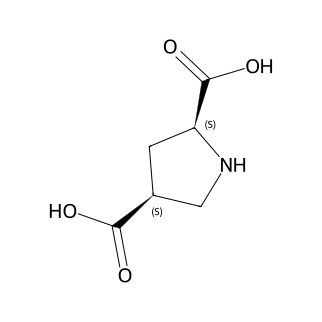 O=C(O)[C@@H]1CN[C@H](C(=O)O)C1